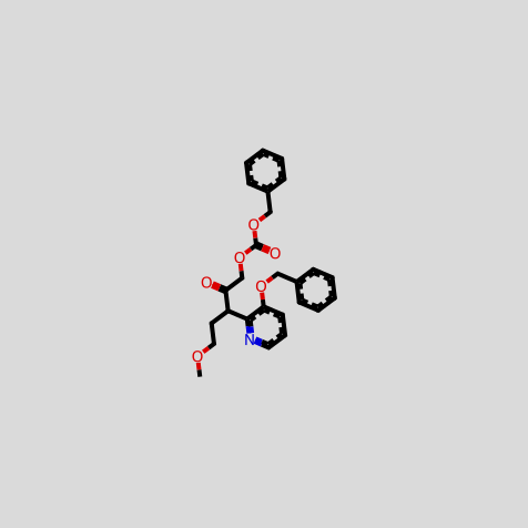 COCCC(C(=O)COC(=O)OCc1ccccc1)c1ncccc1OCc1ccccc1